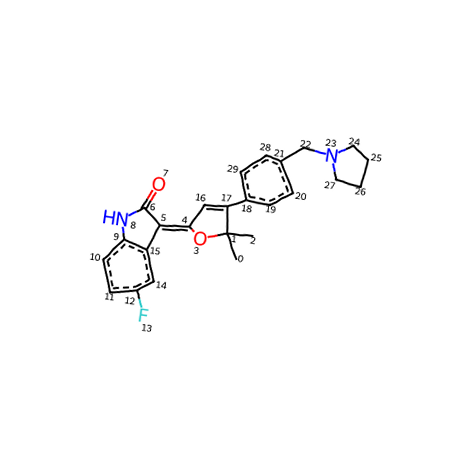 CC1(C)O/C(=C2/C(=O)Nc3ccc(F)cc32)C=C1c1ccc(CN2CCCC2)cc1